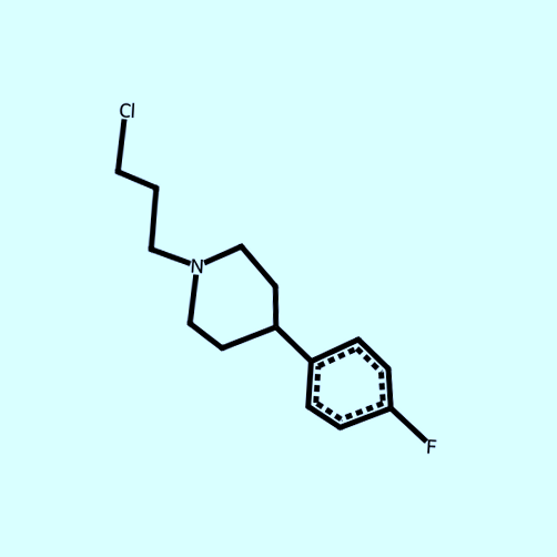 Fc1ccc(C2CCN(CCCCl)CC2)cc1